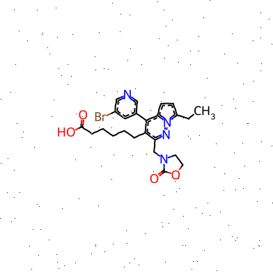 CCc1ccc2c(-c3cncc(Br)c3)c(CCCCCC(=O)O)c(CN3CCOC3=O)nn12